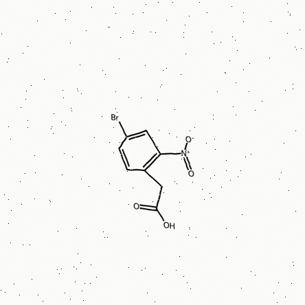 O=C(O)Cc1ccc(Br)cc1[N+](=O)[O-]